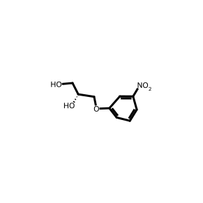 O=[N+]([O-])c1cccc(OC[C@H](O)CO)c1